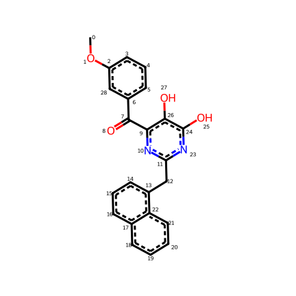 COc1cccc(C(=O)c2nc(Cc3cccc4ccccc34)nc(O)c2O)c1